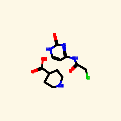 O=C(CCl)Nc1cc[nH]c(=O)n1.O=C(O)C1CCNCC1